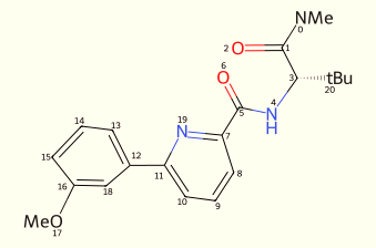 CNC(=O)[C@@H](NC(=O)c1cccc(-c2cccc(OC)c2)n1)C(C)(C)C